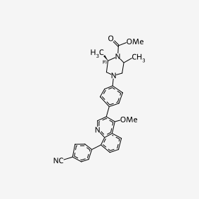 COC(=O)N1C(C)CN(c2ccc(-c3cnc4c(-c5ccc(C#N)cc5)cccc4c3OC)cc2)C[C@H]1C